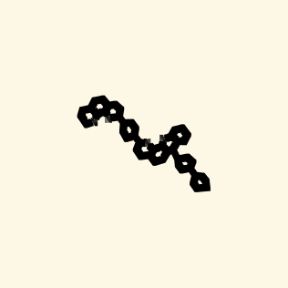 c1ccc(-c2ccc(-c3c4ccccc4nc4c3ccc3ccc(-c5ccc(-c6ccc7ccc8cccnc8c7n6)cc5)nc34)cc2)cc1